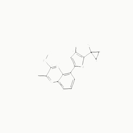 Cc1nc2cccc(-c3cc(C(=O)O)c(C4(N)CC4)[nH]3)c2nc1NC(C)(C)C